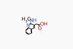 CNc1nc2ccccc2cc1CC(=O)O